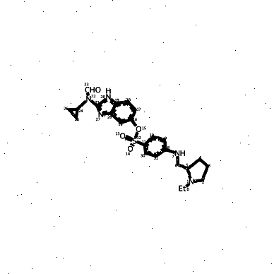 CCN1CCCC1CNc1ccc(S(=O)(=O)Oc2ccc3[nH]c(N(C=O)C4CC4)nc3c2)cc1